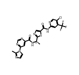 Cc1nccn1-c1cc(C(=O)N[C@H](C)c2ncc(C(=O)Nc3cc(C(F)(F)F)c(Cl)cn3)s2)ncn1